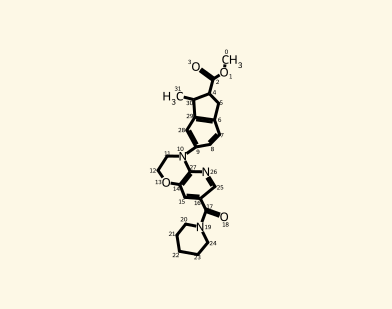 COC(=O)C1Cc2ccc(N3CCOc4cc(C(=O)N5CCCCC5)cnc43)cc2C1C